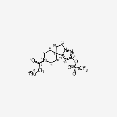 CC(C)(C)OC(=O)N1CCC2(CC1)CCn1nc(OS(=O)(=O)C(F)(F)F)cc12